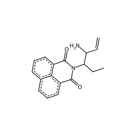 C=CC(N)C(CC)N1C(=O)c2cccc3cccc(c23)C1=O